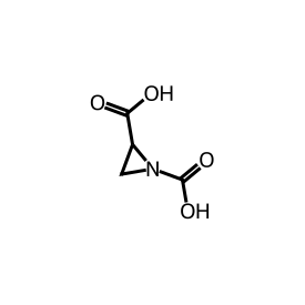 O=C(O)C1CN1C(=O)O